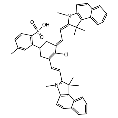 Cc1ccc(S(=O)(=O)O)c(C2CC(/C=C/C3=[N+](C)c4ccc5ccccc5c4C3(C)C)=C(Cl)C(=C/C=C3/N(C)c4ccc5ccccc5c4C3(C)C)/C2)c1